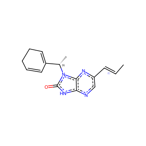 C/C=C/c1cnc2[nH]c(=O)n([C@@H](C)C3=CCCC=C3)c2n1